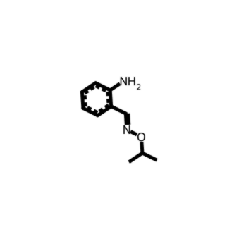 CC(C)ON=Cc1ccccc1N